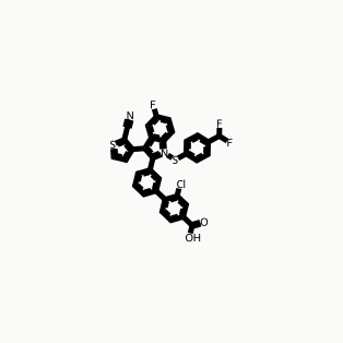 N#Cc1sccc1-c1c(-c2cccc(-c3ccc(C(=O)O)cc3Cl)c2)n(Sc2ccc(C(F)F)cc2)c2ccc(F)cc12